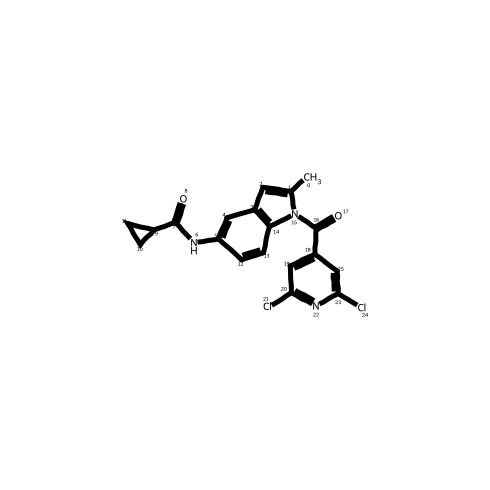 Cc1cc2cc(NC(=O)C3CC3)ccc2n1C(=O)c1cc(Cl)nc(Cl)c1